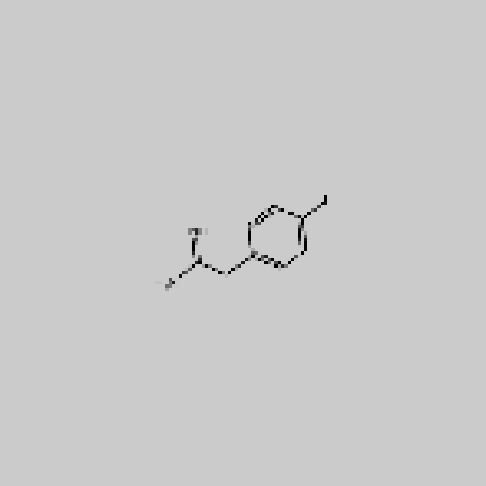 N=C(N)Cc1ccc(F)cc1